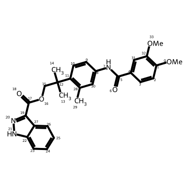 COc1ccc(C(=O)Nc2ccc(C(C)(C)COC(=O)c3n[nH]c4ccccc34)c(C)c2)cc1OC